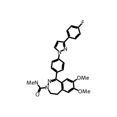 CNC(=O)N1CCc2cc(OC)c(OC)cc2C(c2ccc(-n3ccc(-c4ccc(F)cc4)n3)cc2)=N1